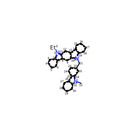 CCn1c2ccccc2c2cc3c(cc21)c1ccccc1n3Cc1ccc2c3ccccc3n(C)c2c1